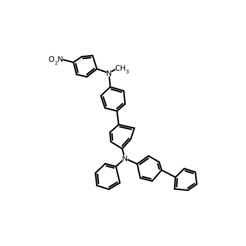 CN(c1ccc(-c2ccc(N(c3ccccc3)c3ccc(-c4ccccc4)cc3)cc2)cc1)c1ccc([N+](=O)[O-])cc1